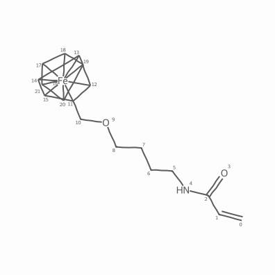 C=CC(=O)NCCCCOC[C]12[CH]3[CH]4[CH]5[CH]1[Fe]45321678[CH]2[CH]1[CH]6[CH]7[CH]28